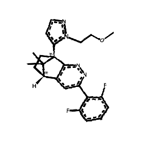 COCCn1nccc1[C@@]12CC[C@@H](c3cc(-c4c(F)cccc4F)nnc31)C2(C)C